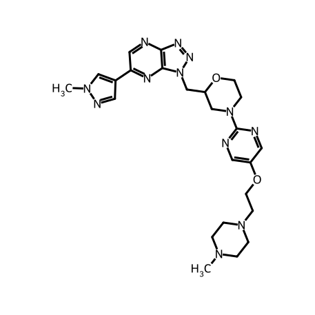 CN1CCN(CCOc2cnc(N3CCOC(Cn4nnc5ncc(-c6cnn(C)c6)nc54)C3)nc2)CC1